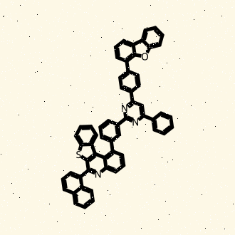 c1ccc(-c2cc(-c3ccc(-c4cccc5c4oc4ccccc45)cc3)nc(-c3cccc(-c4cccc5nc(-c6cccc7ccccc67)c6sc7ccccc7c6c45)c3)n2)cc1